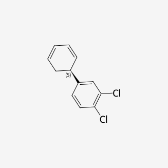 Clc1ccc([C@@H]2C=CC=CC2)cc1Cl